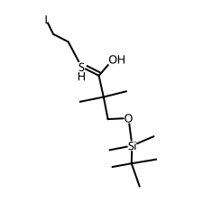 CC(C)(CO[Si](C)(C)C(C)(C)C)C(O)=[SH]CCI